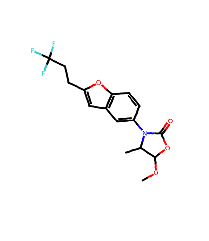 COC1OC(=O)N(c2ccc3oc(CCC(F)(F)F)cc3c2)C1C